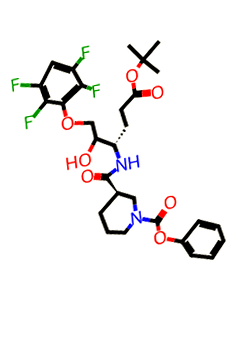 CC(C)(C)OC(=O)CC[C@H](NC(=O)[C@@H]1CCCN(C(=O)Oc2ccccc2)C1)C(O)COc1c(F)c(F)cc(F)c1F